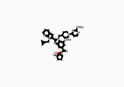 COc1nccc(N2CCC(Cn3c(-c4cc5cccnc5n4CC4CC4)nc4cc(C(=O)N5C[C@H]6CCC5[C@@H]6N)cc(OC)c43)CC2)n1